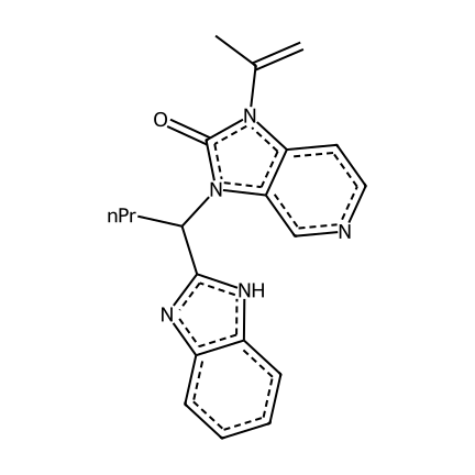 C=C(C)n1c(=O)n(C(CCC)c2nc3ccccc3[nH]2)c2cnccc21